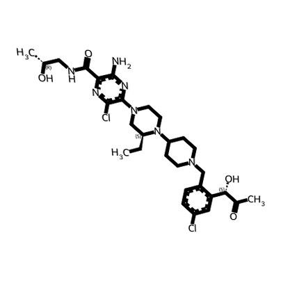 CC[C@H]1CN(c2nc(N)c(C(=O)NC[C@@H](C)O)nc2Cl)CCN1C1CCN(Cc2ccc(Cl)cc2[C@H](O)C(C)=O)CC1